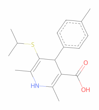 CC1=C(SC(C)C)C(c2ccc(C)cc2)C(C(=O)O)=C(C)N1